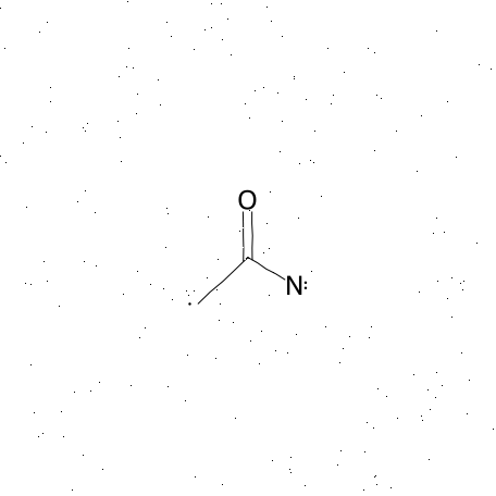 [CH2]C([N])=O